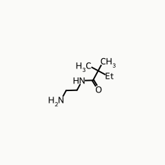 CCC(C)(C)C(=O)NCCN